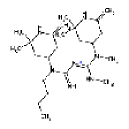 C=C1CC(N(CCCC)C(=N)/N=C(\NC)N(C)C2CC(=C)NC(C)(C)C2)CC(C)(C)N1